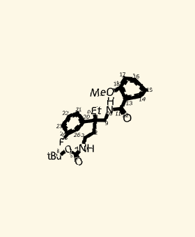 CCC(CCNC(=O)OC(C)(C)C)(CNC(=O)c1ccccc1OC)c1cccc(F)c1